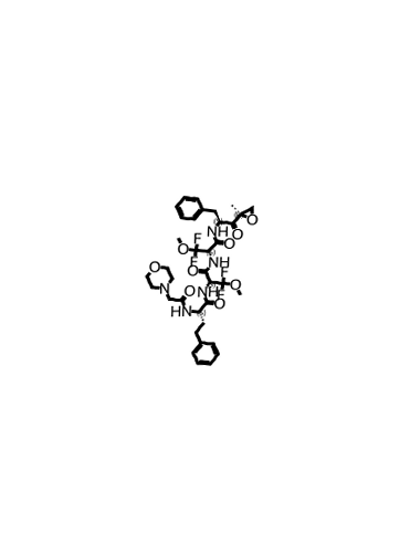 COC(F)(F)[C@@H](NC(=O)[C@H](CCc1ccccc1)NC(=O)CN1CCOCC1)C(=O)N[C@@H](C(=O)N[C@@H](Cc1ccccc1)C(=O)[C@@]1(C)CO1)C(F)(F)OC